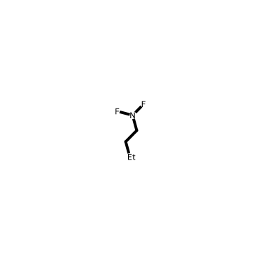 CCCCN(F)F